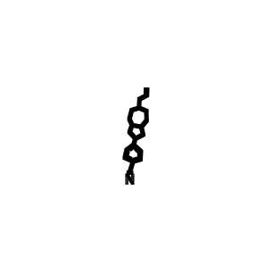 C=CCC1CCC2CC(c3ccc(C#N)cc3)CC2CC1